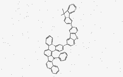 CC1(C)c2ccccc2-c2cc(-c3ccc4sc5ccc(-c6ccc7c(c6)c6ccccc6c6ccc8c9ccc%10ccccc%10c9n(-c9ccccc9)c8c67)cc5c4c3)ccc21